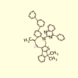 C=C1/C=C\c2c(sc3c2-c2ccccc2C3(C)C)CN(c2nc(-c3ccccc3)c3ccccc3n2)c2cc(-c3cccc(-c4ccccc4)c3)ccc21